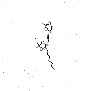 C=C[C@H](C#CC[C@H]1OC(C)(C)O[C@@H]1CCCCCCC)OC(C)=O